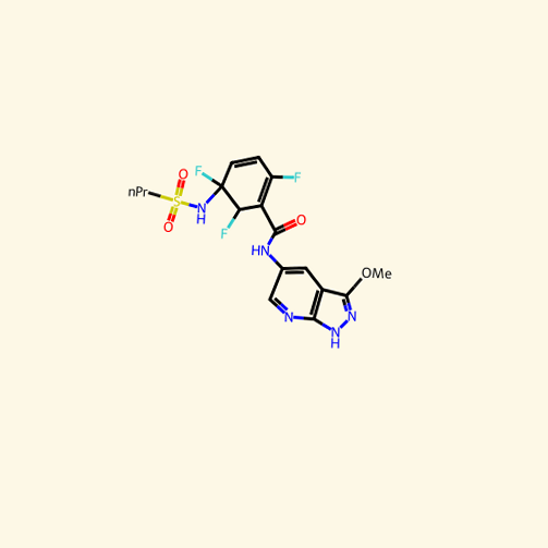 CCCS(=O)(=O)NC1(F)C=CC(F)=C(C(=O)Nc2cnc3[nH]nc(OC)c3c2)C1F